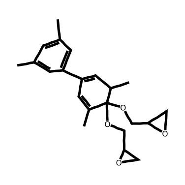 CC1=CC(c2cc(C)cc(C)c2)=CC(C)C1(OCC1CO1)OCC1CO1